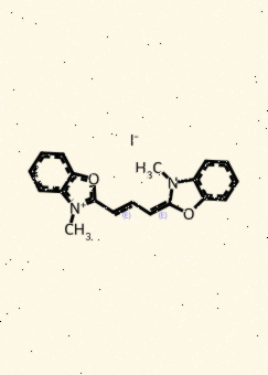 CN1/C(=C\C=C\c2oc3ccccc3[n+]2C)Oc2ccccc21.[I-]